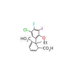 CCOc1c(C2(C)C(C(=O)O)=CC=CC2C(=O)O)cc(Cl)c(F)c1I